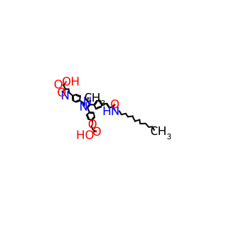 CCCCCCCCCCCCNC(=O)C=Cc1ccc(-c2c(-c3ccc(OCC(=O)O)cc3)nc(-c3ccc(C4=NOC(C(=O)O)C4)cc3)n2C)cc1